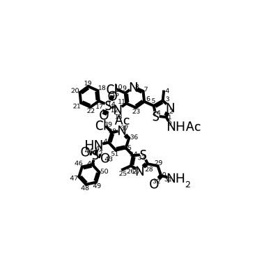 CC(=O)Nc1nc(C)c(-c2cnc(Cl)c(N(C(C)=O)S(=O)(=O)c3ccccc3)c2)s1.Cc1nc(CC(N)=O)sc1-c1cnc(Cl)c(NS(=O)(=O)c2ccccc2)c1